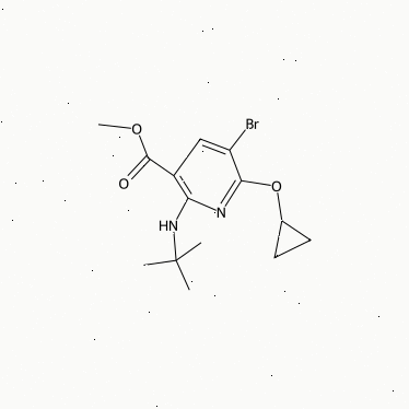 COC(=O)c1cc(Br)c(OC2CC2)nc1NC(C)(C)C